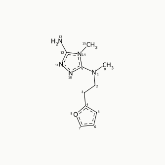 CN(CCc1ccco1)c1nnc(N)n1C